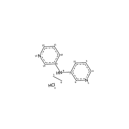 CC.Cl.c1cncc(Nc2cccnc2)c1